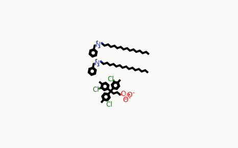 CCCCCCCCCCCCCCCC[N+](C)(C)Cc1ccccc1.CCCCCCCCCCCCCCCC[N+](C)(C)Cc1ccccc1.Cc1ccc(C(CCCOB([O-])[O-])(c2ccc(C)c(Cl)c2)c2ccc(C)c(Cl)c2)cc1Cl